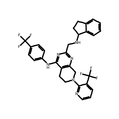 FC(F)(F)c1ccc(Nc2nc(CNC3CCc4ccccc43)nc3c2CCN(c2ncccc2C(F)(F)F)C3)cc1